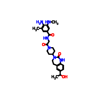 CNc1cc(C(=O)NCC(=O)N2CCC(N3CCc4cc(C(C)O)ccc4NC3=O)CC2)cc(C)c1N